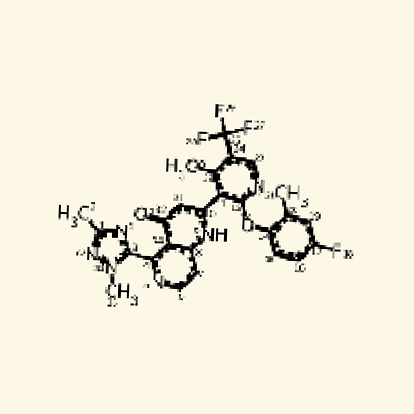 Cc1nc(-c2nccc3[nH]c(-c4c(Oc5ccc(F)cc5C)ncc(C(F)(F)F)c4C)cc(=O)c23)n(C)n1